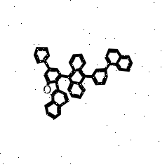 c1ccc(-c2cc(-c3c4ccccc4c(-c4cccc(-c5cccc6ccccc56)c4)c4ccccc34)c3c(c2)oc2c4ccccc4ccc23)cc1